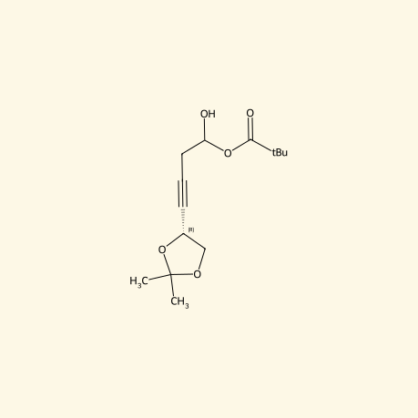 CC1(C)OC[C@@H](C#CCC(O)OC(=O)C(C)(C)C)O1